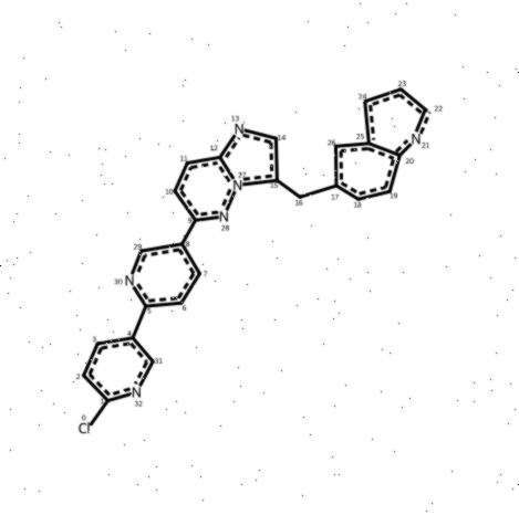 Clc1ccc(-c2ccc(-c3ccc4ncc(Cc5ccc6ncccc6c5)n4n3)cn2)cn1